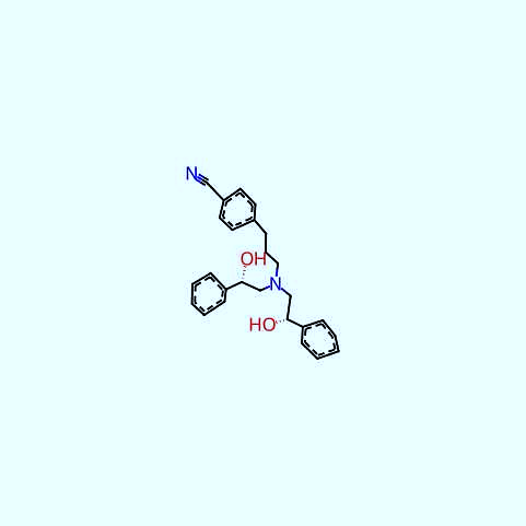 N#Cc1ccc(CCCN(C[C@@H](O)c2ccccc2)C[C@@H](O)c2ccccc2)cc1